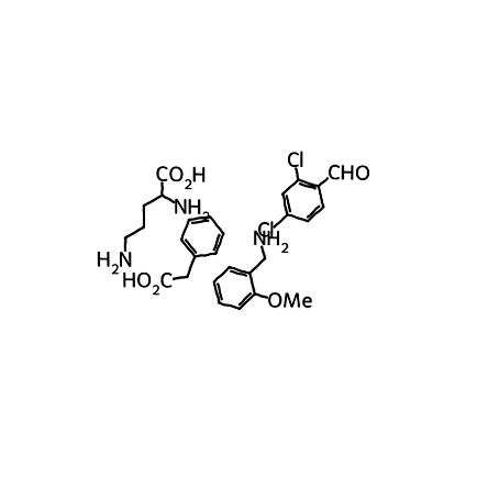 COc1ccccc1CN.NCCCC(N)C(=O)O.O=C(O)Cc1ccccc1.O=Cc1ccc(Cl)cc1Cl